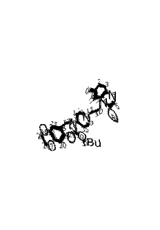 Cc1ccc2ncc(=O)n(CCN3CCC(N(Cc4ccc5c(c4)OCCO5)C(=O)OC(C)(C)C)CC3)c2c1